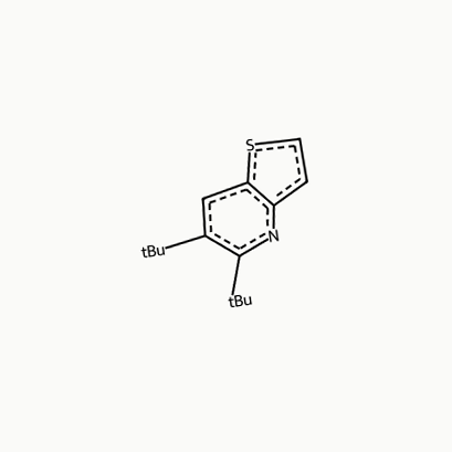 CC(C)(C)c1cc2sccc2nc1C(C)(C)C